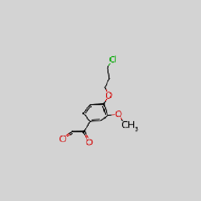 COc1cc(C(=O)C=O)ccc1OCCCCl